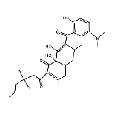 CCCC(C)(C)CC(=O)C1=C(C)CC2CC3Cc4c(N(C)C)ccc(O)c4C(=O)C3=C(O)C2(O)C1=O